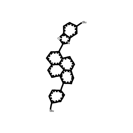 CC(C)(C)c1ccc(-c2ccc3ccc4c(-c5nc6cc(C(C)(C)C)ccc6o5)ccc5ccc2c3c54)cc1